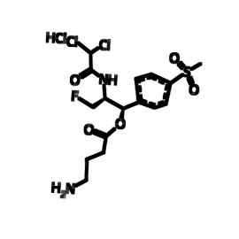 CS(=O)(=O)c1ccc([C@@H](OC(=O)CCCN)[C@@H](CF)NC(=O)C(Cl)Cl)cc1.Cl